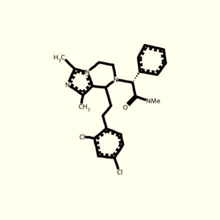 CNC(=O)[C@@H](c1ccccc1)N1CCn2c(C)nc(C)c2C1CCc1ccc(Cl)cc1Cl